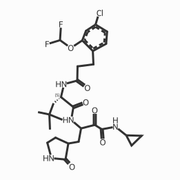 CC(C)(C)C[C@H](NC(=O)CCc1ccc(Cl)cc1OC(F)F)C(=O)NC(CC1CCNC1=O)C(=O)C(=O)NC1CC1